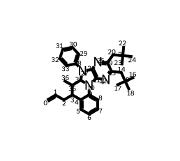 C=CCC1c2ccccc2N2c3nc(CC(C)(C)C)c(CC(C)(C)C)nc3N(c3ccccc3)C2C1C